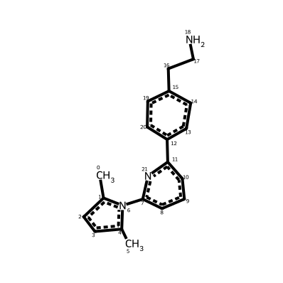 Cc1ccc(C)n1-c1cccc(-c2ccc(CCN)cc2)n1